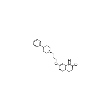 O=C1CCc2ccc(OCCCN3CCC(c4ccccc4)CC3)cc2N1